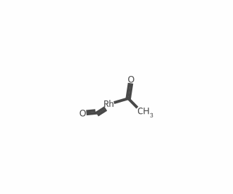 C[C](=O)[Rh]=[C]=O